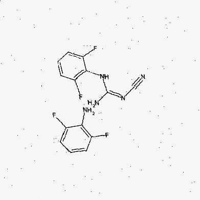 N#C/N=C(/N)Nc1c(F)cccc1F.Nc1c(F)cccc1F